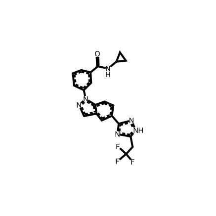 O=C(NC1CC1)c1cccc(-n2ncc3cc(-c4n[nH]c(CC(F)(F)F)n4)ccc32)c1